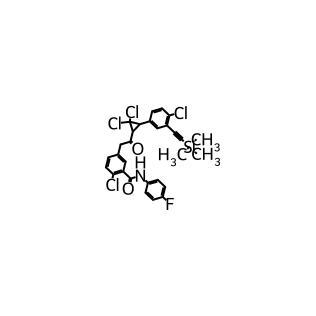 C[Si](C)(C)C#Cc1cc(C2C(C(=O)Cc3ccc(Cl)c(C(=O)Nc4ccc(F)cc4)c3)C2(Cl)Cl)ccc1Cl